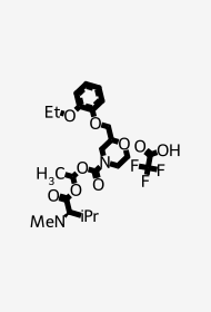 CCOc1ccccc1OCC1CN(C(=O)OC(C)OC(=O)[C@H](NC)C(C)C)CCO1.O=C(O)C(F)(F)F